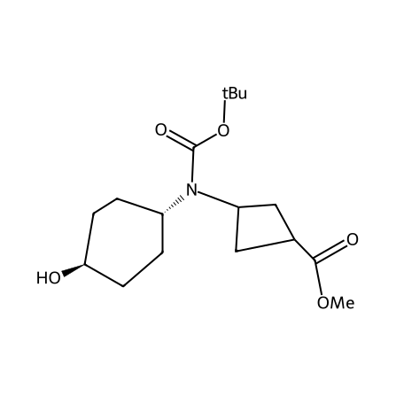 COC(=O)C1CC(N(C(=O)OC(C)(C)C)[C@H]2CC[C@H](O)CC2)C1